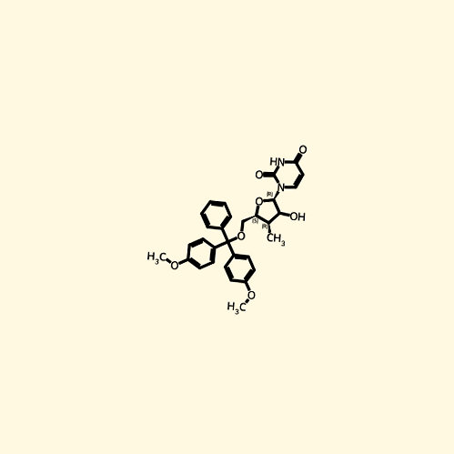 COc1ccc(C(OC[C@H]2O[C@@H](n3ccc(=O)[nH]c3=O)C(O)[C@H]2C)(c2ccccc2)c2ccc(OC)cc2)cc1